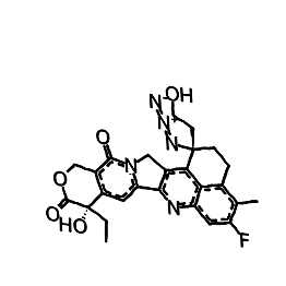 CC[C@@]1(O)C(=O)OCc2c1cc1n(c2=O)Cc2c-1nc1cc(F)c(C)c3c1c2[C@](CCO)(N=[N+]=[N-])CC3